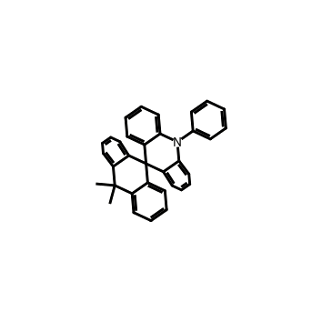 CC1(C)c2ccccc2C2(c3ccccc3N(c3ccccc3)c3ccccc32)c2ccccc21